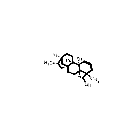 C[C@@H]1C[C@]23CC[C@H]4[C@@](C)(CO)CC=C[C@]4(C)[C@H]2CC[C@H]1C3